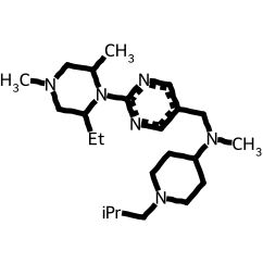 CCC1CN(C)CC(C)N1c1ncc(CN(C)C2CCN(CC(C)C)CC2)cn1